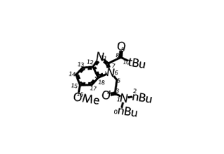 CCCCN(CCCC)C(=O)Cn1c(C(=O)C(C)(C)C)nc2ccc(OC)cc21